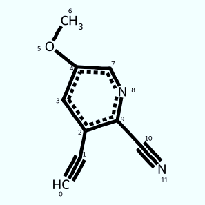 C#Cc1cc(OC)cnc1C#N